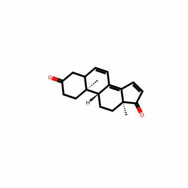 C[C@]12CC[C@H]3C(=C1C=CC2=O)C=CC1CC(=O)CC[C@@]13C